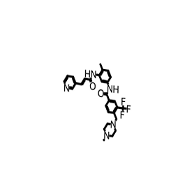 Cc1ccc(NC(=O)c2ccc(CN3CCN(C)CC3)c(C(F)(F)F)c2)cc1NC(=O)C=Cc1cccnc1